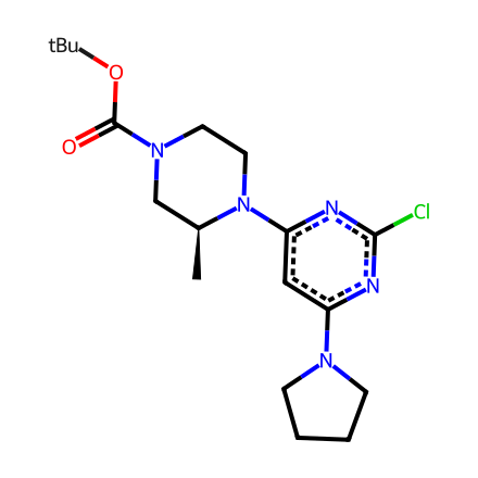 C[C@H]1CN(C(=O)OC(C)(C)C)CCN1c1cc(N2CCCC2)nc(Cl)n1